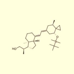 C[C@@H]1C/C(=C/C=C2\CCC[C@]3(C)[C@@H]([C@@H](C)CO)CC[C@@H]23)C[C@@H](O[Si](C)(C)C(C)(C)C)C12CC2